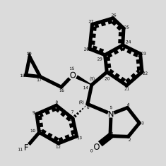 O=C1CCCN1[C@H](c1ccc(F)cc1)[C@@H](OCC1CC1)c1cccc2ccccc12